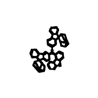 c1ccc2c(c1)-c1cc(N(c3ccc4c(c3)C3(c5ccccc5-4)C4CC5CC(C4)CC3C5)c3cccc4sc5ccccc5c34)ccc1C21C2CC3CC(C2)CC1C3